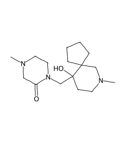 CN1CCN(CC2(O)CCN(C)CC23CCCC3)C(=O)C1